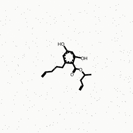 C=CCCCc1cc(O)cc(O)c1C(=O)OC(C)CC=C